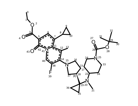 CCOC(=O)c1cc(C2CC2)c2c(C)c(N3CC[C@@H](C4(N(C)C5CCN(C(=O)OC(C)(C)C)CC5)CC4)C3)c(F)cn2c1=O